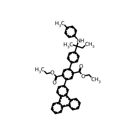 CCOC(=O)c1cc(-c2ccc3c4ccccc4c4ccccc4c3c2)c(C(=O)OCC)cc1-c1ccc(C(C)(CC)Nc2ccc(C)cc2)cc1